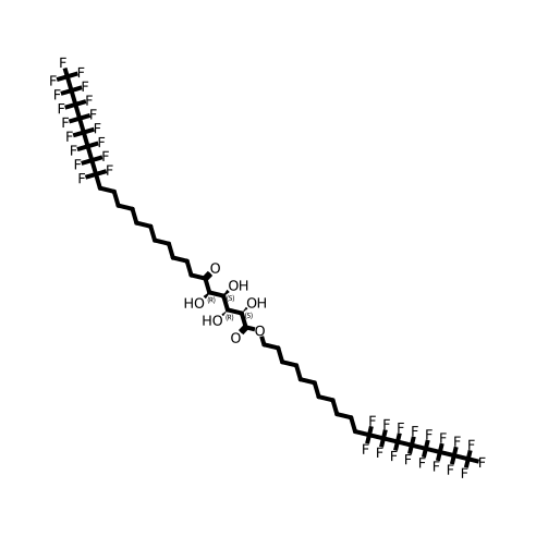 O=C(OCCCCCCCCCCCC(F)(F)C(F)(F)C(F)(F)C(F)(F)C(F)(F)C(F)(F)C(F)(F)C(F)(F)F)[C@@H](O)[C@H](O)[C@H](O)[C@@H](O)C(=O)CCCCCCCCCCCC(F)(F)C(F)(F)C(F)(F)C(F)(F)C(F)(F)C(F)(F)C(F)(F)C(F)(F)F